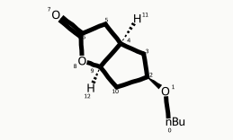 CCCCO[C@@H]1C[C@@H]2CC(=O)O[C@@H]2C1